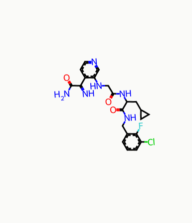 N=C(C(N)=O)c1ccncc1NCC(=O)NC(CC1CC1)C(=O)NCc1cccc(Cl)c1F